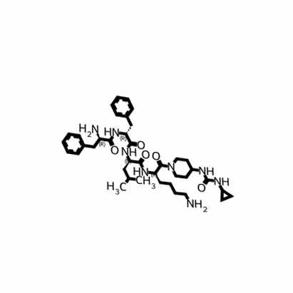 CC(C)C[C@@H](NC(=O)[C@@H](Cc1ccccc1)NC(=O)[C@H](N)Cc1ccccc1)C(=O)N[C@H](CCCCN)C(=O)N1CCC(NC(=O)NC2CC2)CC1